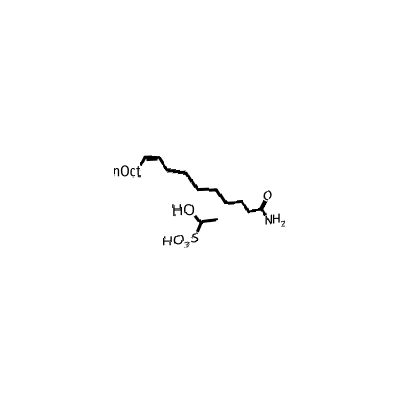 CC(O)S(=O)(=O)O.CCCCCCCC/C=C\CCCCCCCC(N)=O